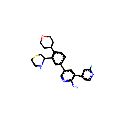 Nc1ncc(-c2ccc(C3CCOCC3)c(C3CSCCN3)c2)cc1-c1ccnc(F)c1